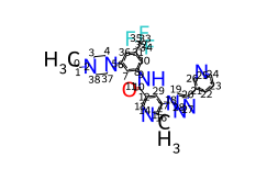 CCN1CCN(c2cc(NC(=O)c3cnc(C)c(-n4cc(-c5cccnc5)nn4)c3)cc(C(F)(F)F)c2)CC1